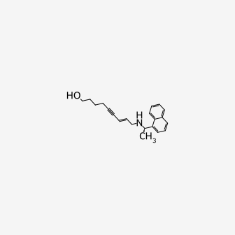 C[C@@H](NC/C=C/C#CCCCCO)c1cccc2ccccc12